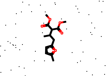 COC(=O)C(C(=O)OC)C(C)Cc1ccc(C)o1